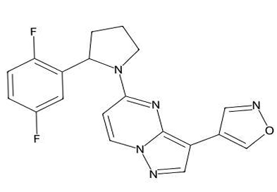 Fc1ccc(F)c(C2CCCN2c2ccn3ncc(-c4cnoc4)c3n2)c1